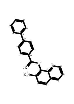 O=C(Oc1c([N+](=O)[O-])ccc2cccnc12)c1ccc(-c2ccccc2)cc1